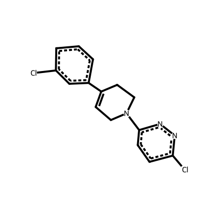 Clc1cccc(C2=CCN(c3ccc(Cl)nn3)CC2)c1